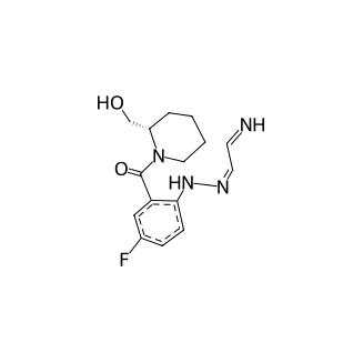 N=C/C=N\Nc1ccc(F)cc1C(=O)N1CCCC[C@H]1CO